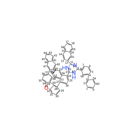 c1ccc(-c2cccc(C3N=C(c4ccc5ccccc5c4)NC(c4ccc(-c5cccc6oc7ccc(-c8ccc9ccccc9c8)cc7c56)c5ccccc45)N3)c2)cc1